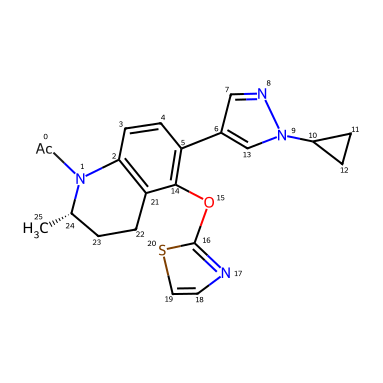 CC(=O)N1c2ccc(-c3cnn(C4CC4)c3)c(Oc3nccs3)c2CC[C@@H]1C